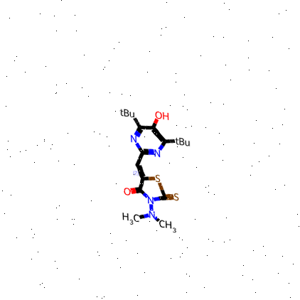 CN(C)N1C(=O)/C(=C/c2nc(C(C)(C)C)c(O)c(C(C)(C)C)n2)SC1=S